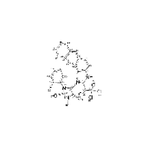 CN1C(=O)C(=NC(Nc2ccc3cc4ccccc4cc3c2)C(Cl)C(Cl)(Cl)Cl)N(c2ccccc2F)C1=O